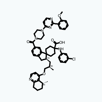 COc1ccccc1-c1nccc(N2CCN(C(=O)c3ccc4c(c3)C3(CCC(Nc5cccc(Cl)c5)(C(=O)O)CC3)[C@@H](C[C@@H](C)COc3ccnc5c3[C@H](C)CCC5)C4)CC2)n1